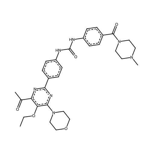 CCOc1c(C(C)=O)nc(-c2ccc(NC(=O)Nc3ccc(C(=O)N4CCN(C)CC4)cc3)cc2)nc1N1CCOCC1